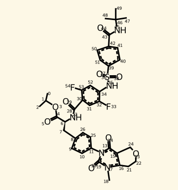 CC(C)OC(=O)[C@H](Cc1ccc(-n2c(=O)c3c(n(C)c2=O)CCOC3)cc1)NC(=O)c1cc(F)c(NS(=O)(=O)c2ccc(C(=O)NC(C)(C)C)cc2)cc1F